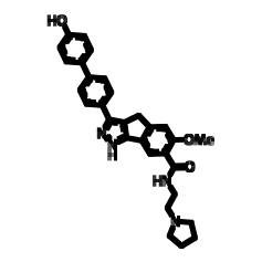 COc1cc2c(cc1C(=O)NCCN1CCCC1)-c1[nH]nc(-c3ccc(-c4ccc(O)cc4)cc3)c1C2